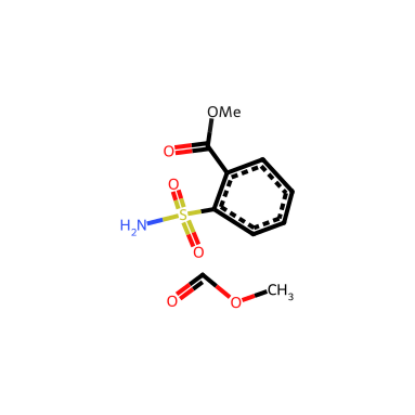 COC(=O)c1ccccc1S(N)(=O)=O.COC=O